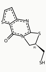 O=c1c2sccc2nc2n1C[C@H](CS)S2